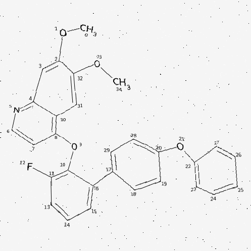 COc1cc2nccc(Oc3c(F)cccc3-c3ccc(Oc4ccccc4)cc3)c2cc1OC